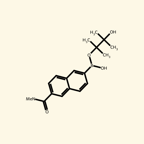 CNC(=O)c1ccc2cc(B(O)OC(C)(C)C(C)(C)O)ccc2c1